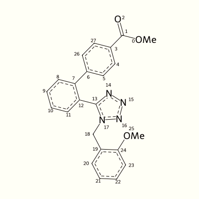 COC(=O)c1ccc(-c2ccccc2-c2nnnn2Cc2ccccc2OC)cc1